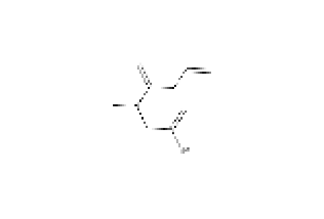 C=CCC(=C)N(C)CC(=C)C(C)C